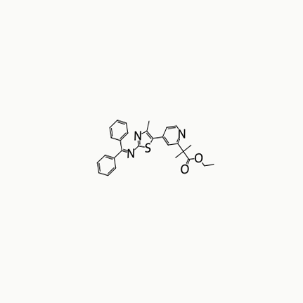 CCOC(=O)C(C)(C)c1cc(-c2sc(N=C(c3ccccc3)c3ccccc3)nc2C)ccn1